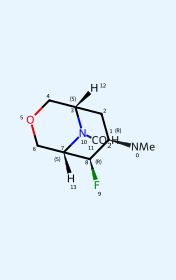 CN[C@@H]1C[C@H]2COC[C@@H]([C@@H]1F)N2C(=O)O